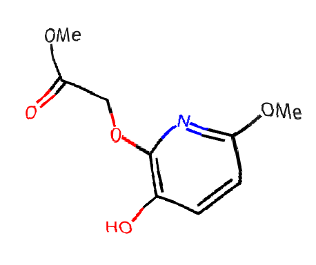 COC(=O)COc1nc(OC)ccc1O